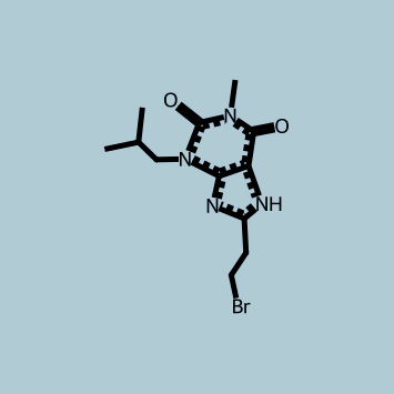 CC(C)Cn1c(=O)n(C)c(=O)c2[nH]c(CCBr)nc21